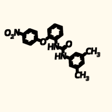 Cc1cc(C)cc(NC(=O)Nc2ccccc2Oc2ccc([N+](=O)[O-])cc2)c1